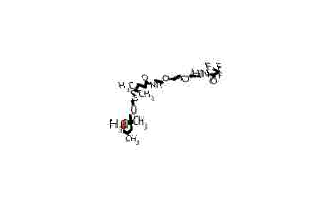 CC(CO)CC(C)(C)COCSSC(C)(C)CCC(=O)NCCOCCOCCNC(=O)C(F)(F)F